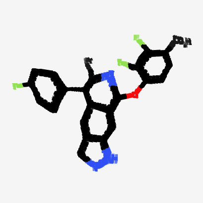 CC(C)c1nc(Oc2ccc(C(=O)O)c(F)c2F)c2cc3[nH]ncc3cc2c1-c1ccc(F)cc1